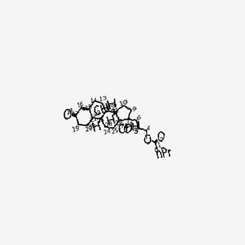 CCCC(=O)OCCC[C@]1(O)CC[C@H]2[C@@H]3CCC4=CC(=O)CC[C@]4(C)[C@H]3CC[C@@]21C